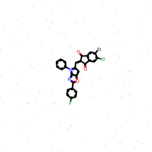 CCc1cc2c(cc1Cl)C(=O)/C(=C\c1cc3oc(-c4ccc(F)cc4)nc3n1-c1ccccc1)C2=O